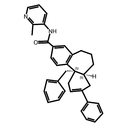 Cc1ncccc1NC(=O)c1ccc2c(c1)CCC[C@H]1CC(c3ccccc3)=CC[C@@]21Cc1ccccc1